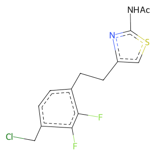 CC(=O)Nc1nc(CCc2ccc(CCl)c(F)c2F)cs1